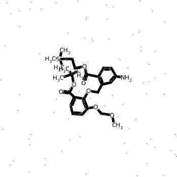 COCOc1cccc(C(=O)OC(C)(C)C)c1OCc1cc(N)ccc1C(=O)OCC[Si](C)(C)C